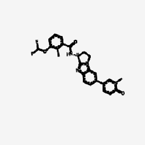 Cc1c(OC(F)F)cccc1C(=O)N[C@@H]1CCn2c1nc1ccc(-c3ccc(=O)n(C)c3)cc12